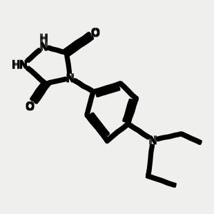 CCN(CC)c1ccc(-n2c(=O)[nH][nH]c2=O)cc1